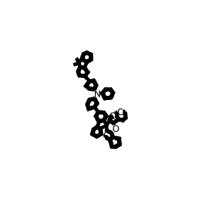 CC1(C)c2ccccc2-c2cc(-c3ccc(N(c4ccccc4)c4cccc(-c5ccc6c(c5)-c5ccccc5C65c6ccc7ccccc7c6Oc6c5ccc5ccccc65)c4)cc3)ccc21